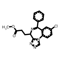 COC(=O)CCC1N=C(c2ccccc2)c2cc(Cl)ccc2-n2cnnc21